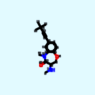 CNC1COc2ccc(C#CC(C)(C)C)cc2N(C)C1=O